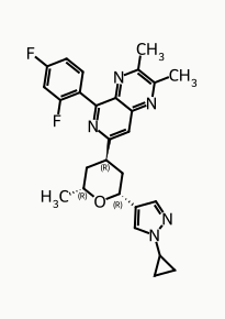 Cc1nc2cc([C@@H]3C[C@@H](C)O[C@@H](c4cnn(C5CC5)c4)C3)nc(-c3ccc(F)cc3F)c2nc1C